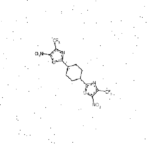 O=[N+]([O-])c1oc(C2CCC(c3nc(C(F)(F)F)c([N+](=O)[O-])o3)CC2)nc1C(F)(F)F